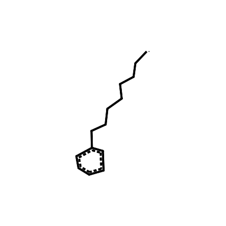 [CH2]CCCCCCCc1ccccc1